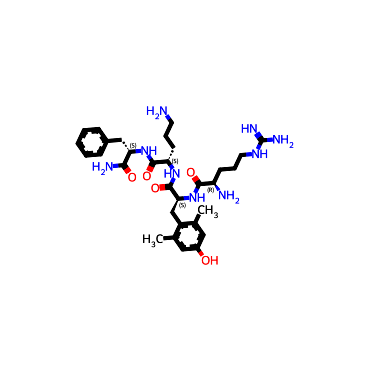 Cc1cc(O)cc(C)c1C[C@H](NC(=O)[C@H](N)CCCNC(=N)N)C(=O)N[C@@H](CCCN)C(=O)N[C@@H](Cc1ccccc1)C(N)=O